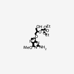 CCOP(=O)(COC(CO)COn1cnc2c(OC)nc(N)nc21)OCC